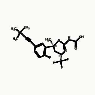 C[C@@]1(c2cc(C#C[Si](C)(C)C)ccc2F)C[C@@H](C(F)(F)F)N=C(NC(=O)O)O1